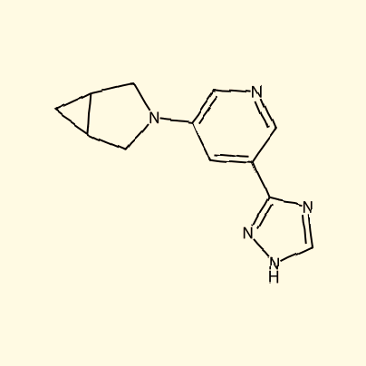 c1nc(-c2cncc(N3CC4CC4C3)c2)n[nH]1